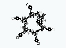 CCNc1nc(NCCNc2nc(NCCNc3nc(NCCNc4nc(NCCNc5nc(NCCNc6nc(NCCN)nc(SCc7ccc(Cl)cc7)n6)nc(SCc6ccc(Cl)cc6)n5)nc(SCc5ccc(Cl)cc5)n4)nc(SCc4ccc(Cl)cc4)n3)nc(SCc3ccc(Cl)cc3)n2)nc(SCc2ccc(Cl)cc2)n1